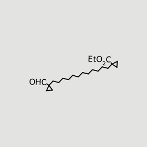 CCOC(=O)C1(CCCCCCCCCCCCC2(C=O)CC2)CC1